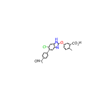 Cc1ccc(Oc2nc3cc(-c4ccc(C(C)N=O)cc4)c(Cl)cc3[nH]2)cc1C(=O)O